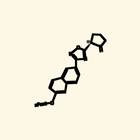 CCCCCOc1ccc2cc(-c3noc([C@@H]4CCCN4)n3)ccc2c1